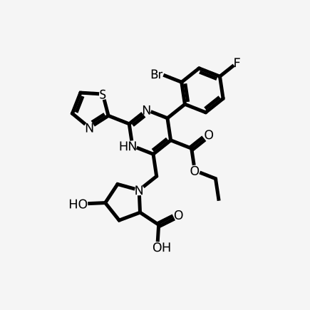 CCOC(=O)C1=C(CN2CC(O)CC2C(=O)O)NC(c2nccs2)=NC1c1ccc(F)cc1Br